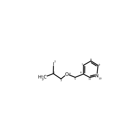 CC(I)COCc1cccnc1